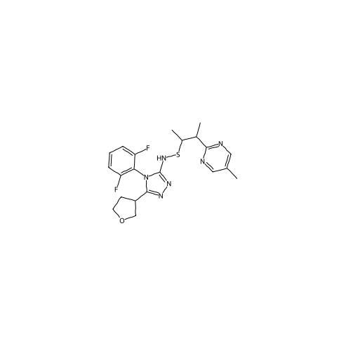 Cc1cnc(C(C)C(C)SNc2nnc(C3CCOC3)n2-c2c(F)cccc2F)nc1